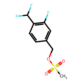 CS(=O)(=O)OCc1ccc(C(F)F)c(F)c1